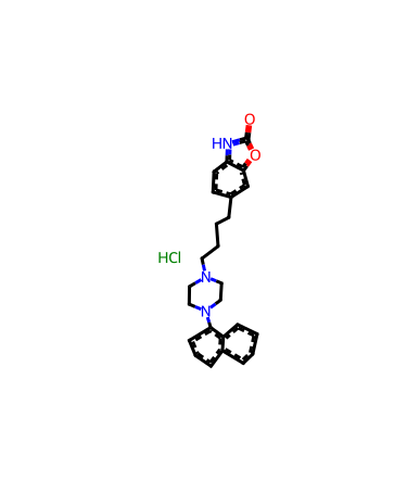 Cl.O=c1[nH]c2ccc(CCCCN3CCN(c4cccc5ccccc45)CC3)cc2o1